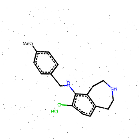 COc1ccc(CNc2c(Cl)ccc3c2CCNCC3)cc1.Cl